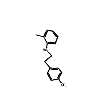 Cc1ccccc1NCCc1ccc(C(F)(F)F)cc1